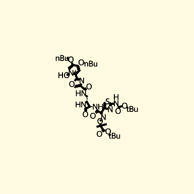 CCCCOc1cc(-c2nc(C(=O)NC[C@H]3NC(=O)[C@H]3NC(=O)/C(=N\OC(C)(C)C(=O)OC(C)(C)C)c3csc(NC(=O)OC(C)(C)C)n3)co2)[n+](O)cc1OCCCC